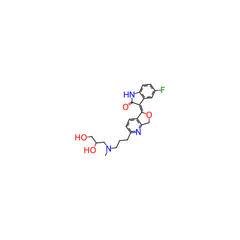 CN(CCCc1ccc2c(n1)COC2=C1C(=O)Nc2ccc(F)cc21)CC(O)CO